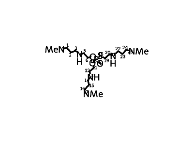 CNCCCNCCOP(=O)(OCCNCCCNC)SCCNCCCNC